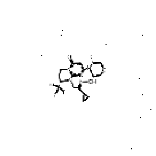 C[C@@H]1COCCN1c1cc(=O)n2c(n1)N(CC(=NO)C1CC1)[C@H](C(F)(F)F)CC2